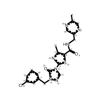 Cc1cnc(CNC(=O)c2sc(-n3cnn(Cc4cccc(Cl)c4)c3=O)nc2C)cn1